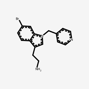 NCCc1cn(Cc2ccncc2)c2cc(Br)ccc12